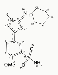 COc1ccc(-c2nn(C)c(=NC3CCCCC3)s2)cc1S(N)(=O)=O